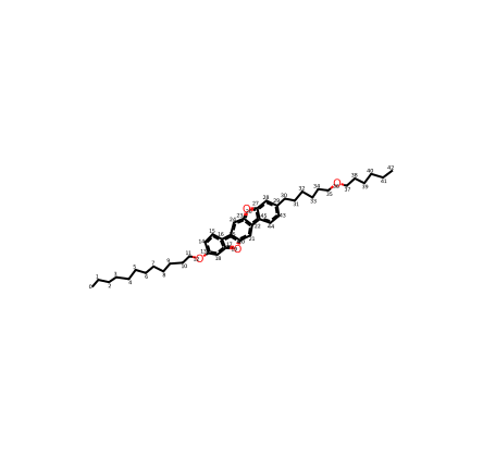 CCCCCCCCCCCCOc1ccc2c(c1)oc1cc3c(cc12)oc1cc(CCCCCCOCCCCCC)ccc13